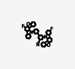 N#Cc1cc(-c2cccc(-n3c4ccccc4c4cc(F)c5oc6ccccc6c5c43)c2)cc(-n2c3ccc(F)cc3c3ccc4oc5ccccc5c4c32)c1